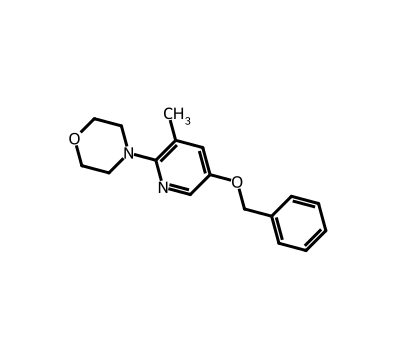 Cc1cc(OCc2ccccc2)cnc1N1CCOCC1